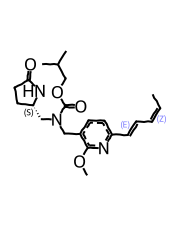 C/C=C\C=C\c1ccc(CN(C[C@@H]2CCC(=O)N2)C(=O)OCC(C)C)c(OC)n1